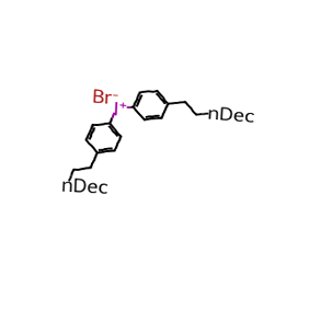 CCCCCCCCCCCCc1ccc([I+]c2ccc(CCCCCCCCCCCC)cc2)cc1.[Br-]